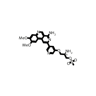 COc1cc2ncc3c(N)nc(-c4cncc(OC[C@@H](N)COS(C)(=O)=O)c4)cc3c2cc1OC